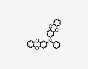 c1ccc(N(c2ccc3c(c2)Oc2ccccc2O3)c2ccc3c(c2)Oc2ccccc2O3)cc1